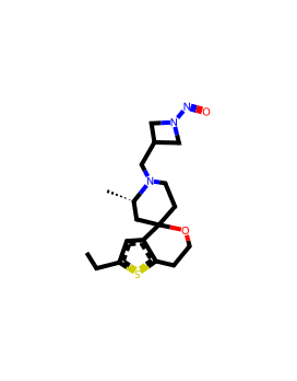 CCc1cc2c(s1)CCOC21CCN(CC2CN(N=O)C2)[C@@H](C)C1